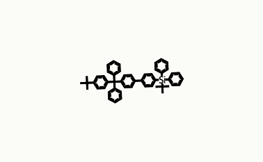 CC(C)(C)c1ccc(C(c2ccccc2)(c2ccccc2)c2ccc(-c3ccc([Si](c4ccccc4)(c4ccccc4)C(C)(C)C)cc3)cc2)cc1